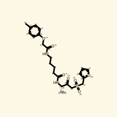 CCCC[C@H](NC(=O)CCCCNC(=O)COc1ccc(C)cc1)C(=O)CS(=O)(=O)Cc1ccco1